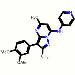 COc1ccc(-c2c(C)nn3c(Nc4ccncc4)cc(C)nc23)cc1OC